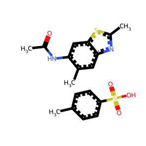 CC(=O)Nc1cc2sc(C)nc2cc1C.Cc1ccc(S(=O)(=O)O)cc1